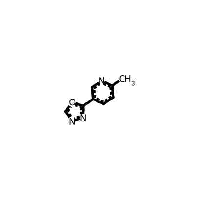 Cc1ccc(-c2nnco2)cn1